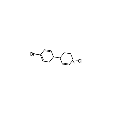 O[C@@H]1C=CC(C2C=CC(Br)=CC2)CC1